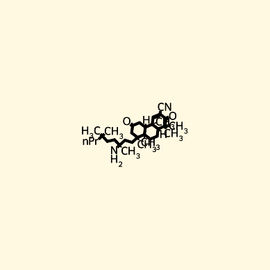 CCCC(C)(C)CC[C@](C)(N)CC[C@]1(C)CC(=O)C[C@@H]2[C@@]3(C)C=C(C#N)C(=O)C(C)(C)[C@@H]3CC[C@]21C